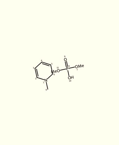 CN1C=CC=CC1.COP(=O)(O)OC